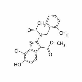 COC(=O)c1c(N(Cc2ccccc2C)C(C)=O)sc2c(Cl)c(O)ccc12